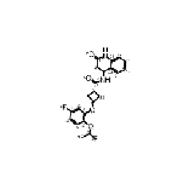 O=C1CC(NC(=O)[C@H]2C[C@H](Oc3cc(F)ccc3OC(F)F)C2)c2ccccc2N1